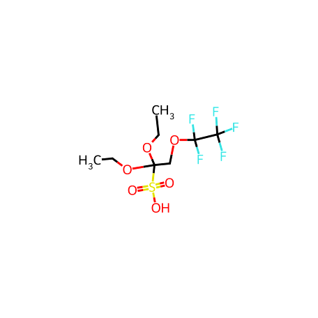 CCOC(COC(F)(F)C(F)(F)F)(OCC)S(=O)(=O)O